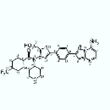 Nc1ccnc2cc(-c3ccc(-c4cc(N(C(=O)C5CCC(C(F)(F)F)CC5)C5CCOCC5)c(C(=O)O)s4)cc3)nn12